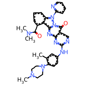 Cc1cc(Nc2ncc3c(=O)n4c(nc3n2)c2c(C(=O)N(C)C)cccc2n4-c2ccccn2)ccc1N1CCN(C)CC1